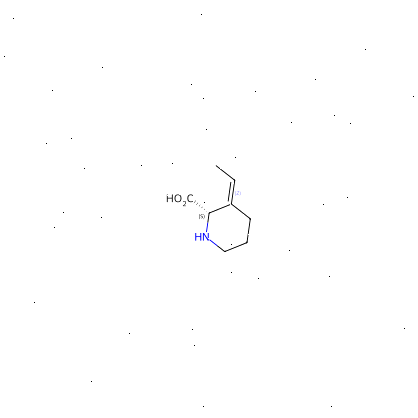 C/C=C1/CCCN[C@@H]1C(=O)O